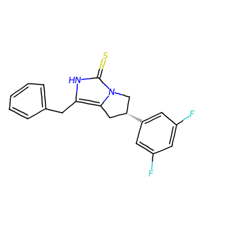 Fc1cc(F)cc([C@@H]2Cc3c(Cc4ccccc4)[nH]c(=S)n3C2)c1